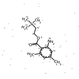 Cc1cc(C)c(C(=O)OCC[Si](C)(C)C)c(N)c1